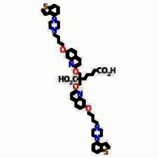 O=C(O)CCCCC(COc1ccc2ccc(OCCCCN3CCN(c4cccc5sccc45)CC3)cc2n1)(COc1ccc2ccc(OCCCCN3CCN(c4cccc5sccc45)CC3)cc2n1)C(=O)O